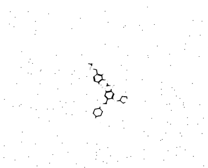 CN(c1cc2c(cc1C(=O)NC1CCC(C(F)(F)F)CC1)nc(Nc1c(Cl)ccc(CNC(=O)C(C)(C)C)c1Cl)n2C)C1CCSC1